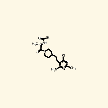 CCC(=O)N[C@@H](C)C(=O)N1CCC(CCc2c(N)nc(C)nc2Cl)CC1